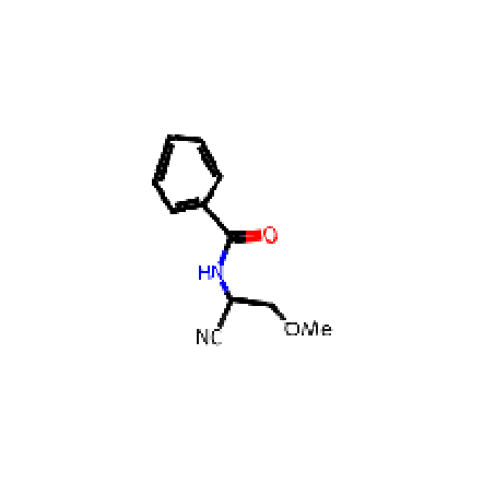 COCC(C#N)NC(=O)c1ccccc1